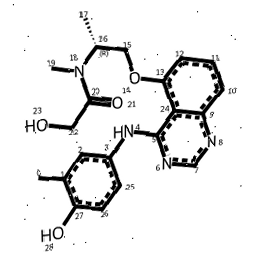 Cc1cc(Nc2ncnc3cccc(OC[C@@H](C)N(C)C(=O)CO)c23)ccc1O